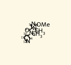 COc1ncc(C(=O)N(C)c2cccnc2)n1C